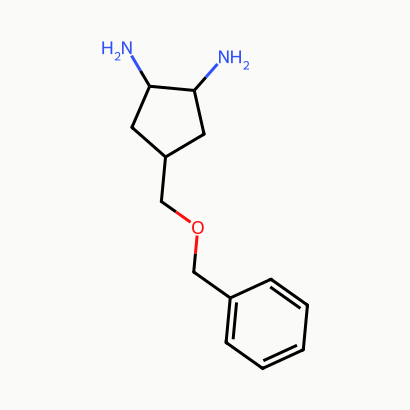 NC1CC(COCc2ccccc2)CC1N